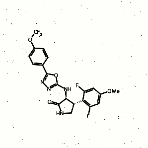 COc1cc(F)c([C@@H]2CNC(=O)[C@H]2Nc2nnc(-c3ccc(OC(F)(F)F)cc3)o2)c(F)c1